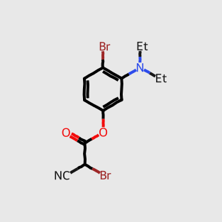 CCN(CC)c1cc(OC(=O)C(Br)C#N)ccc1Br